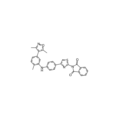 Cc1ccc(-c2c(C)noc2C)cc1Nc1ccc(-c2csc(N3C(=O)c4ccccc4C3=O)n2)cc1